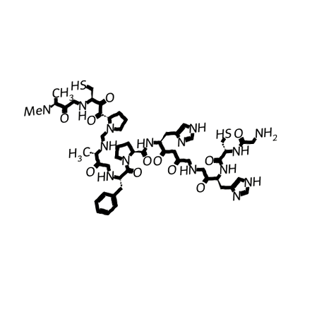 CN[C@@H](C)C(=O)CN[C@@H](CS)C(=O)C(=O)[C@@H]1CCCN1CN[C@@H](C)C(=O)CN[C@@H](Cc1ccccc1)C(=O)N1CCC[C@H]1C(=O)N[C@@H](Cc1c[nH]cn1)C(=O)CC(=O)CNCC(=O)[C@H](Cc1c[nH]cn1)NC(=O)[C@H](CS)NC(=O)CN